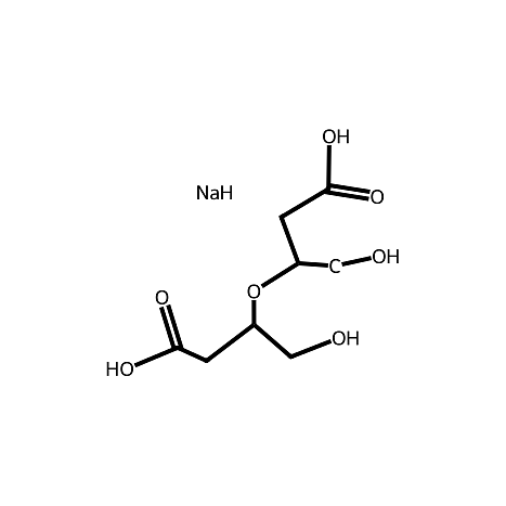 O=C(O)CC(CO)OC(CO)CC(=O)O.[NaH]